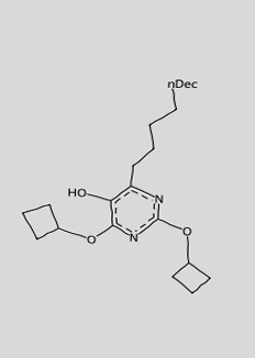 CCCCCCCCCCCCCCc1nc(OC2CCC2)nc(OC2CCC2)c1O